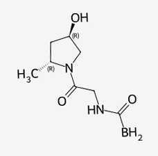 BC(=O)NCC(=O)N1C[C@H](O)C[C@H]1C